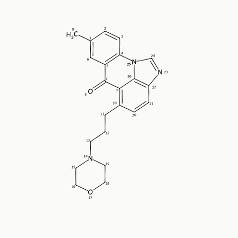 Cc1ccc2c(c1)c(=O)c1c(CCCN3CCOCC3)ccc3ncn2c31